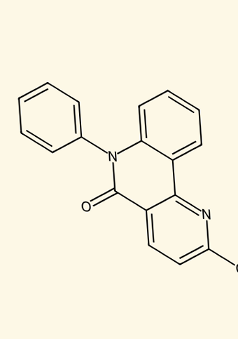 O=c1c2ccc(Cl)nc2c2ccccc2n1-c1ccccc1